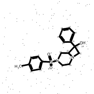 Cc1ccc(S(=O)(=O)N2CCN3CC(O)(c4ccccc4)C3C2)cc1